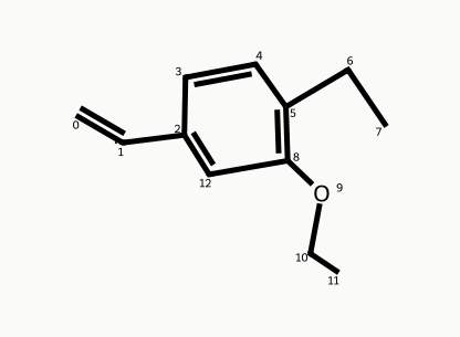 C=[C]c1ccc(CC)c(OCC)c1